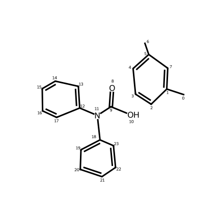 Cc1cccc(C)c1.O=C(O)N(c1ccccc1)c1ccccc1